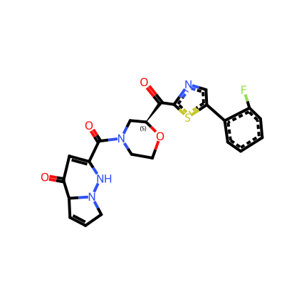 O=C1C=C(C(=O)N2CCO[C@H](C(=O)c3ncc(-c4ccccc4F)s3)C2)NN2CC=CC12